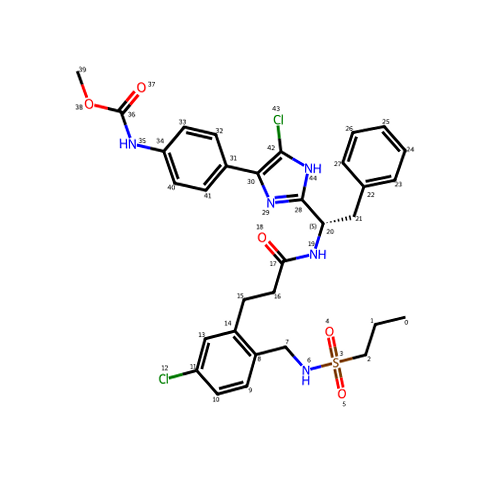 CCCS(=O)(=O)NCc1ccc(Cl)cc1CCC(=O)N[C@@H](Cc1ccccc1)c1nc(-c2ccc(NC(=O)OC)cc2)c(Cl)[nH]1